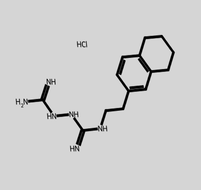 Cl.N=C(N)NNC(=N)NCCc1ccc2c(c1)CCCC2